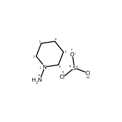 NN1CCCCC1.[O-][S+](Cl)Cl